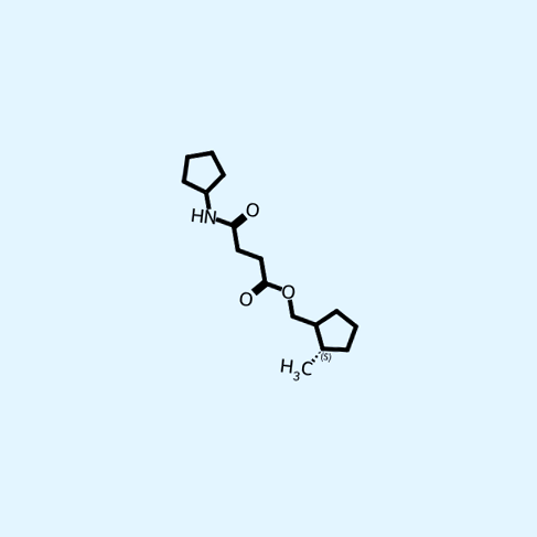 C[C@H]1CCCC1COC(=O)CCC(=O)NC1CCCC1